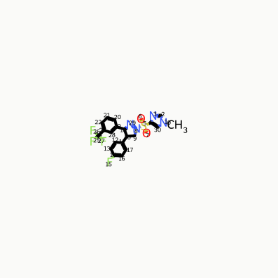 Cn1cnc(S(=O)(=O)N2CC(c3ccc(F)cc3)C(c3cccc(C(F)(F)F)c3)=N2)c1